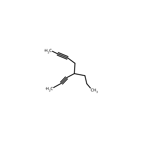 [CH2]C#CCC(C#C[CH2])CCC